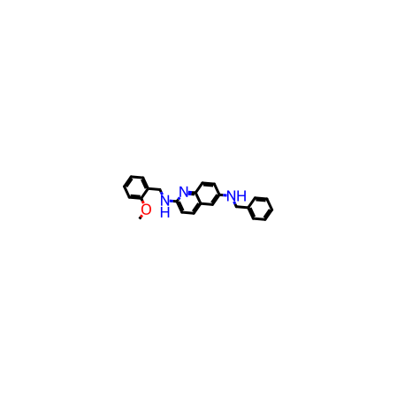 COc1ccccc1CNc1ccc2cc(NCc3ccccc3)ccc2n1